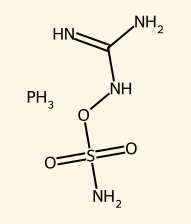 N=C(N)NOS(N)(=O)=O.P